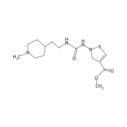 COC(=O)C1=CSN(NC(=O)NCCC2CCN(C)CC2)C1